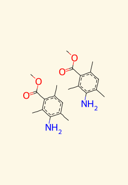 COC(=O)c1c(C)cc(C)c(N)c1C.COC(=O)c1c(C)cc(C)c(N)c1C